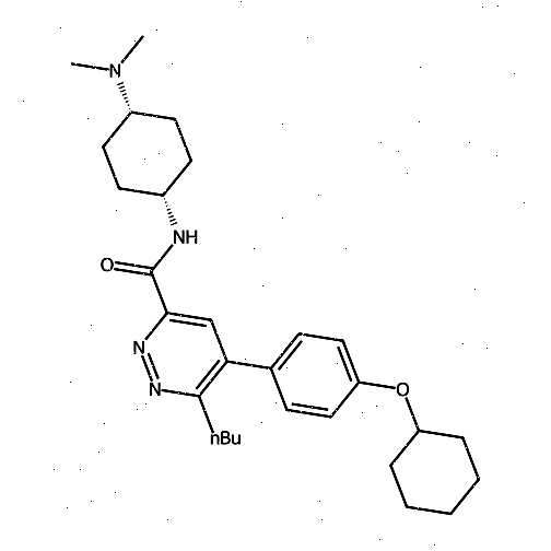 CCCCc1nnc(C(=O)N[C@H]2CC[C@@H](N(C)C)CC2)cc1-c1ccc(OC2CCCCC2)cc1